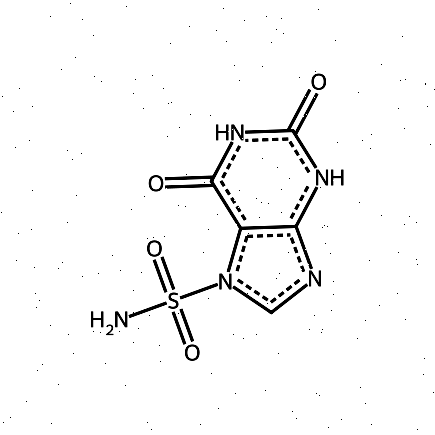 NS(=O)(=O)n1cnc2[nH]c(=O)[nH]c(=O)c21